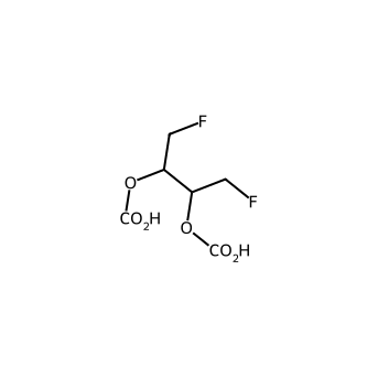 O=C(O)OC(CF)C(CF)OC(=O)O